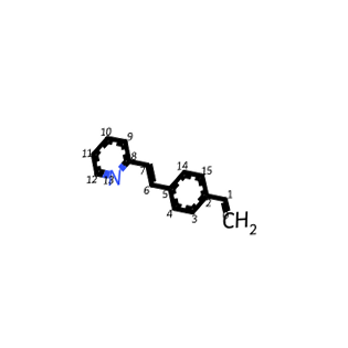 C=Cc1ccc(C=Cc2ccccn2)cc1